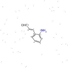 Nc1ccccc1C=CC=O